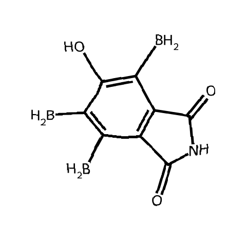 Bc1c(B)c2c(c(B)c1O)C(=O)NC2=O